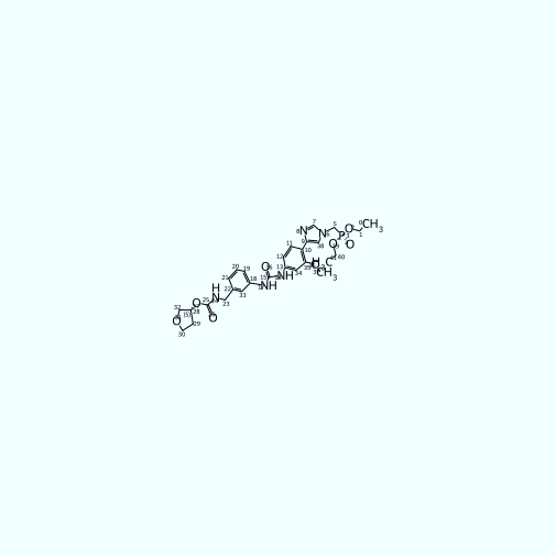 CCOP(=O)(Cn1cnc(-c2ccc(NC(=O)Nc3cccc(CNC(=O)O[C@H]4CCOC4)c3)cc2OC)c1)OCC